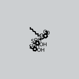 CCCCCCCC[S+]([O-])C(C)Cc1ccc2c(c1)OCO2.Oc1ccc(C=S)c(O)c1.Oc1ccc(C=S)c(O)c1